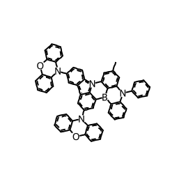 Cc1cc2c3c(c1)-n1c4ccc(N5c6ccccc6Oc6ccccc65)cc4c4cc(N5c6ccccc6Oc6ccccc65)cc(c41)B3c1ccccc1N2c1ccccc1